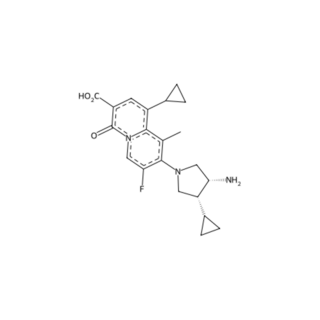 Cc1c(N2C[C@H](N)[C@H](C3CC3)C2)c(F)cn2c(=O)c(C(=O)O)cc(C3CC3)c12